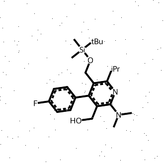 CC(C)c1nc(N(C)C)c(CO)c(-c2ccc(F)cc2)c1CO[Si](C)(C)C(C)(C)C